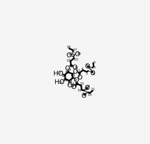 CCS(=O)(=O)CCC(=O)O[C@H]1[C@H](OC(=O)CCS(=O)(=O)CC)[C@H](O)[C@H](O)[C@@H](O)[C@@H]1OC(=O)CCS(=O)(=O)CC